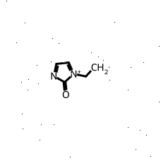 [CH2]C[N+]1=CC=NC1=O